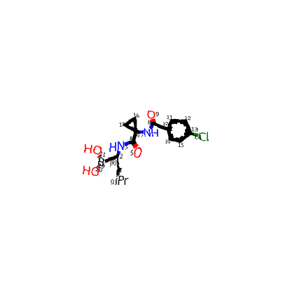 CC(C)C[C@H](NC(=O)C1(NC(=O)c2ccc(Cl)cc2)CC1)B(O)O